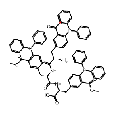 COC(=O)c1cc(C[C@H](NC(=O)[C@H](Cc2ccc(P(c3ccccc3)c3ccccc3)c(C(=O)OC)c2)NC(=O)[C@@H](N)Cc2ccc(P(c3ccccc3)c3ccccc3)c(C(=O)OC)c2)C(=O)O)ccc1P(c1ccccc1)c1ccccc1